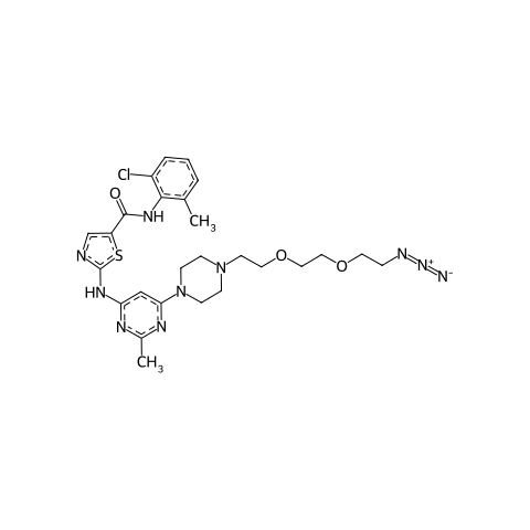 Cc1nc(Nc2ncc(C(=O)Nc3c(C)cccc3Cl)s2)cc(N2CCN(CCOCCOCCN=[N+]=[N-])CC2)n1